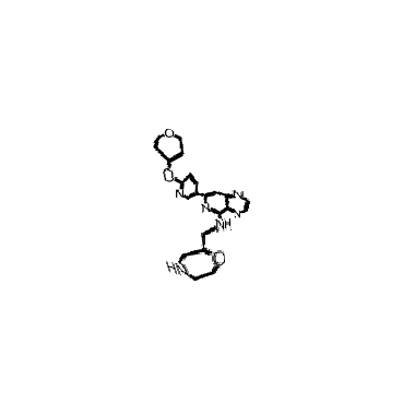 c1cnc2c(NC[C@@H]3CNCCO3)nc(-c3ccc(OC4CCOCC4)nc3)cc2n1